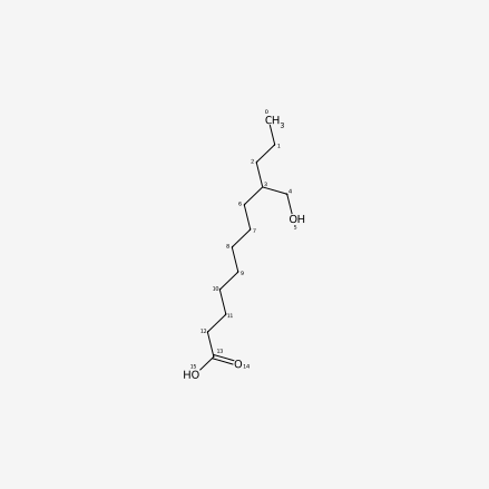 CCCC(CO)CCCCCCCC(=O)O